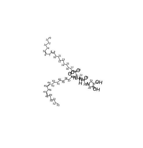 CCCCC/C=C\C/C=C\CCCCCCCCOC(=O)[C@H](CNC(=O)CN1C[C@@H](O)[C@@H](O)C1)NC(=O)CCCCCCC/C=C\C/C=C\CCCCC